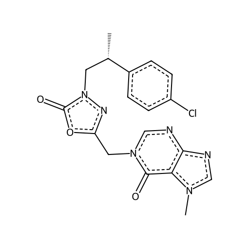 C[C@@H](Cn1nc(Cn2cnc3ncn(C)c3c2=O)oc1=O)c1ccc(Cl)cc1